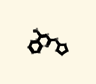 CC(C)(C)/C(=N/C(=O)OC1CCCC1)c1ccccc1